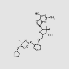 C[C@H](/N=[P+](\[O-])Oc1ccccc1OC[C@H]1O[C@@H](n2cnc3c(O)nc(N)nc32)[C@](C)(F)[C@@H]1O)C(=O)OC1CCCC1